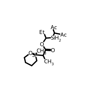 CCC(OC(=O)C(C)[Si]1(C)CCCCO1)[SiH2]C(C(C)=O)C(C)=O